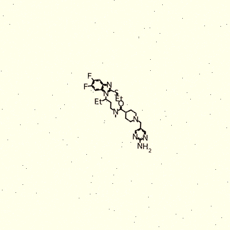 CCSc1nc2cc(F)c(F)cc2n1C(CC)CCN(C)C(=O)C1CCN(Cc2cnc(N)nc2)CC1